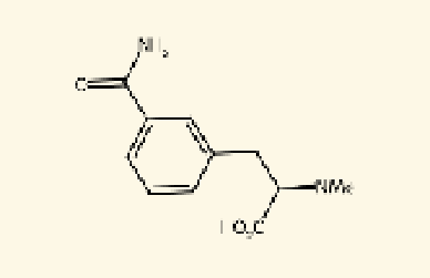 CN[C@H](Cc1cccc(C(N)=O)c1)C(=O)O